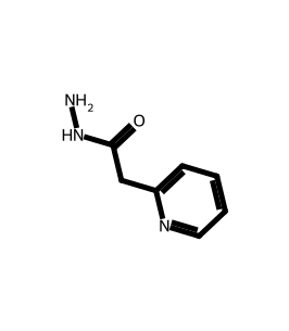 NNC(=O)Cc1ccccn1